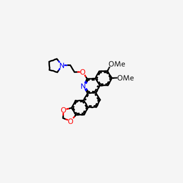 COc1cc2c(OCCN3CCCC3)nc3c4cc5c(cc4ccc3c2cc1OC)OCO5